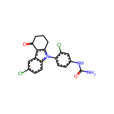 NC(=O)Nc1ccc(-n2c3c(c4cc(Cl)ccc42)C(=O)CCC3)c(Cl)c1